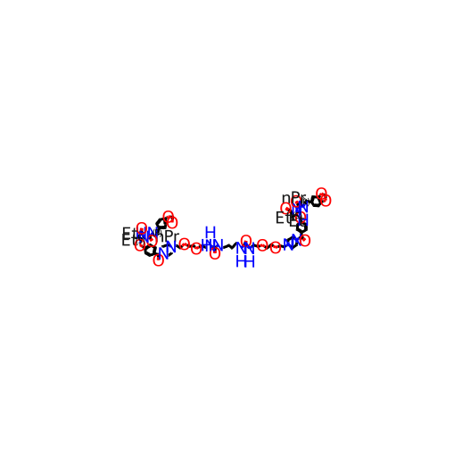 CCC[C@@H](NC(=O)N1C(=O)C(CC)(CC)[C@@H]1Oc1ccc(C(=O)N2CCN(CCOCCOCCNC(=O)NCCCCNC(=O)NCCOCCOCCN3CCN(C(=O)c4ccc(O[C@@H]5N(C(=O)N[C@H](CCC)c6ccc7c(c6)OCO7)C(=O)C5(CC)CC)cc4)CC3)CC2)cc1)c1ccc2c(c1)OCO2